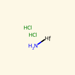 Cl.Cl.[NH2][Hf]